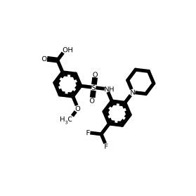 COc1ccc(C(=O)O)cc1S(=O)(=O)Nc1cc(C(F)F)ccc1N1CCCCC1